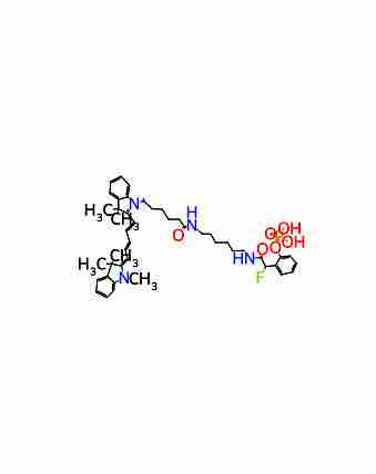 CN1/C(=C/C=C/C=C/C2=[N+](CCCCCC(=O)NCCCCCCNC(=O)C(F)c3ccccc3OP(=O)(O)O)c3ccccc3C2(C)C)C(C)(C)c2ccccc21